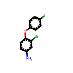 Nc1ccc(Oc2ccc(F)cc2)c(Br)c1